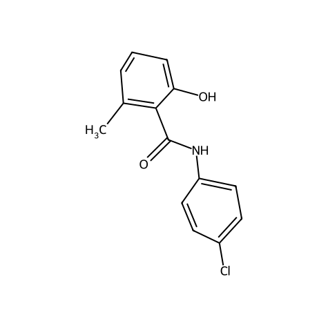 Cc1cccc(O)c1C(=O)Nc1ccc(Cl)cc1